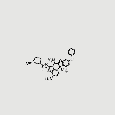 Cc1cc(Oc2ccccc2)ccc1C1(N)C(=O)C(N)c2c(NC(=O)C3CCCN(C#N)C3)sc3c(N)ccc1c23